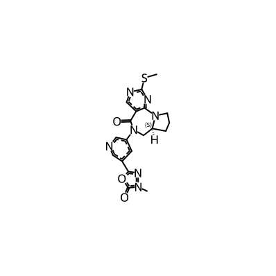 CSc1ncc2c(n1)N1CCC[C@H]1CN(c1cncc(-c3nn(C)c(=O)o3)c1)C2=O